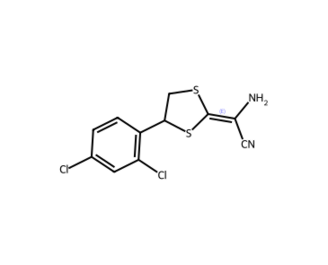 N#C/C(N)=C1/SCC(c2ccc(Cl)cc2Cl)S1